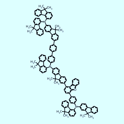 CC1(C)c2ccccc2-c2ccc(N(c3ccc(-c4ccc(-c5ccc6c(c5)C(C)(C)c5cc(N(c7ccc(-c8ccc(-c9ccc%10c(c9)-c9ccc(N(c%11cccc%12c%11-c%11ccccc%11C%12(C)C)c%11cccc%12c%11-c%11ccccc%11C%12(C)C)cc9C%10(C)C)cc8)cc7)c7cccc8c7-c7ccccc7C8(C)C)ccc5-6)c5c4oc4ccccc45)cc3)c3cccc4c3-c3ccccc3C4(C)C)cc21